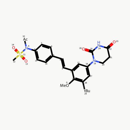 COc1c(C=Cc2ccc(N(C(C)=O)S(C)(=O)=O)cc2)cc(N2CCC(=O)NC2=O)cc1C(C)(C)C